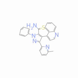 Cc1cccc(-c2nn(-c3ccccc3)c(C(N)=S)c2-c2ccnc3ccccc23)n1